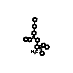 CC1CC=C(c2cccc(N(c3ccc(-c4ccc(-c5ccccc5)cc4)cc3)c3ccc4ccccc4c3)c2)c2c1n(-c1ccccc1)c1c2ccc2ccccc21